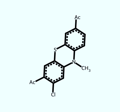 CC(=O)c1ccc2c(c1)Sc1cc(C(C)=O)c(Cl)cc1N2C